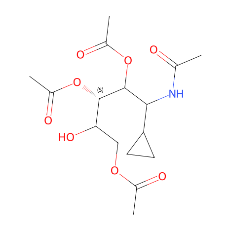 CC(=O)NC(C1CC1)C(OC(C)=O)[C@@H](OC(C)=O)C(O)COC(C)=O